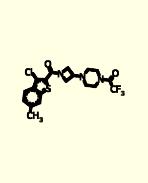 Cc1ccc2c(Cl)c(C(=O)N3CC(N4CCN(C(=O)C(F)(F)F)CC4)C3)sc2c1